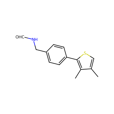 Cc1csc(-c2ccc(CNC=O)cc2)c1C